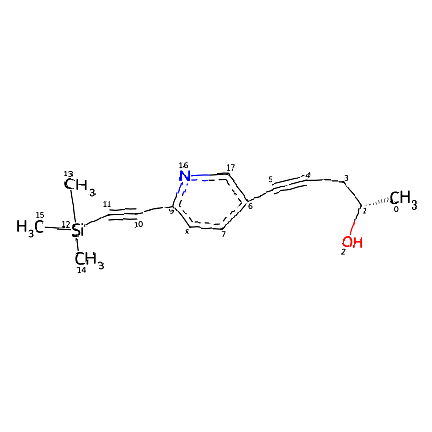 C[C@H](O)CC#Cc1ccc(C#C[Si](C)(C)C)nc1